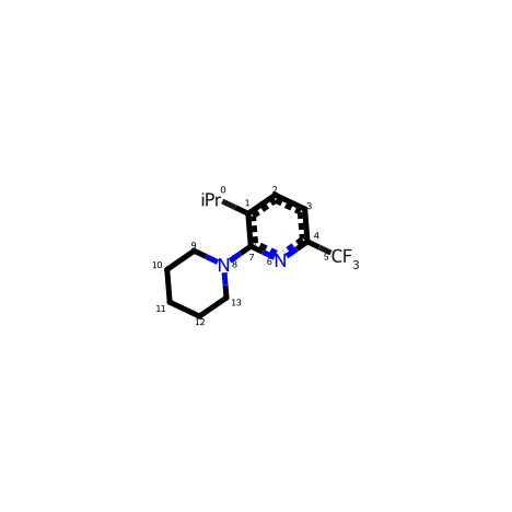 CC(C)c1ccc(C(F)(F)F)nc1N1CCCCC1